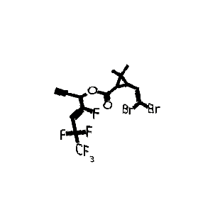 C#CC(OC(=O)C1C(C=C(Br)Br)C1(C)C)/C(F)=C/C(F)(F)C(F)(F)F